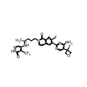 C[C@@H](CCCn1ccc2cc(-c3ncc(C4(F)COC4)c(N)n3)c(F)cc2c1=O)Nc1cn[nH]c(=O)c1C(F)(F)F